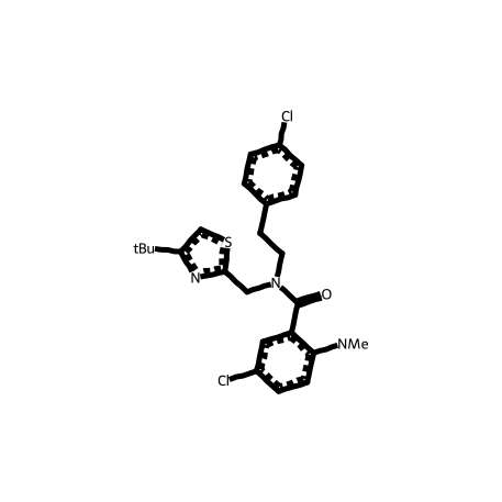 CNc1ccc(Cl)cc1C(=O)N(CCc1ccc(Cl)cc1)Cc1nc(C(C)(C)C)cs1